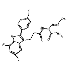 CN=CC(NC(=O)CCc1c(-c2ccc(F)cc2)[nH]c2c(F)cc(F)cc12)C(N)=O